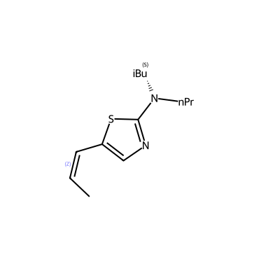 C/C=C\c1cnc(N(CCC)[C@@H](C)CC)s1